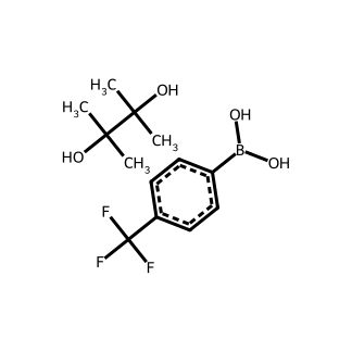 CC(C)(O)C(C)(C)O.OB(O)c1ccc(C(F)(F)F)cc1